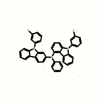 Fc1cccc(-n2c3ccccc3c3ccc(N(c4ccccc4)c4cccc5c4c4ccccc4n5-c4cccc(F)c4)cc32)c1